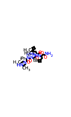 CC(C)[C@H](NC(=O)N[C@H](C(=O)N1C[C@]2(C[C@H]1C(=O)NC(CC1CCC1)C(=O)C(N)=O)C(C)(C)C21CCC1)C(C)(C)C)C(=O)N1C[C@H](C)N[C@@H](C)C1